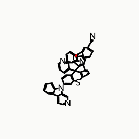 N#Cc1ccc2c(c1)c1ccccc1n2-c1cccc2c1C1(c3ccc(-n4c5ccccc5c5ccncc54)cc3S2)c2cccnc2-c2ncccc21